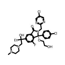 CCC(O)(CN1CCN(C)CC1)c1cc(F)c2c(c1)C(=O)N(Cc1ncc(Cl)cn1)[C@@]2(OCCO)c1ccc(Cl)cc1